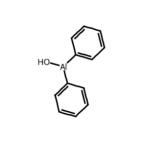 [OH][Al]([c]1ccccc1)[c]1ccccc1